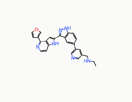 CCNCc1cncc(-c2ccc3[nH]nc(-c4cc5c(-c6ccoc6)nccc5[nH]4)c3c2)c1